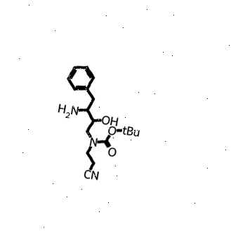 CC(C)(C)OC(=O)N(CCC#N)CC(O)C(N)Cc1ccccc1